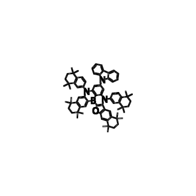 CC1(C)CCC(C)(C)c2cc(N3c4cc5c(cc4B4c6oc7cc8c(cc7c6N(c6ccc7c(c6)C(C)(C)CCC7(C)C)c6cc(-n7c9ccccc9c9ccccc97)cc3c64)C(C)(C)CCC8(C)C)C(C)(C)CCC5(C)C)ccc21